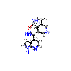 CC(C)c1cncc(C(=N)c2ccnc3[nH]ccc23)c1C(N)=O